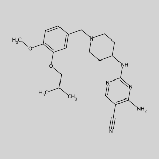 COc1ccc(CN2CCC(Nc3ncc(C#N)c(N)n3)CC2)cc1OCC(C)C